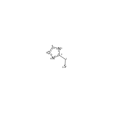 [S]Cc1ncon1